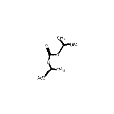 CC(=O)OC(C)OC(=O)OC(C)OC(C)=O